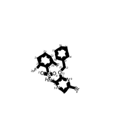 O=S(=O)(Nc1ncc(Br)nc1OCc1ccccc1)c1c(F)cccc1F